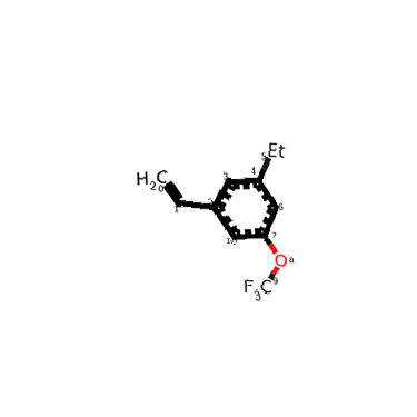 C=Cc1cc(CC)cc(OC(F)(F)F)c1